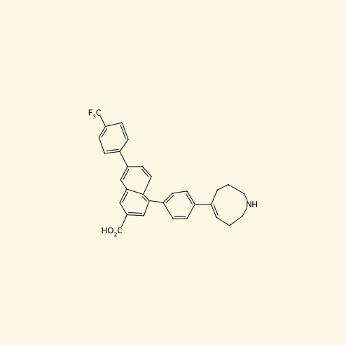 O=C(O)c1cc(-c2ccc(C3=CCCNCCC3)cc2)c2ccc(-c3ccc(C(F)(F)F)cc3)cc2c1